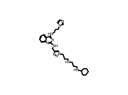 c1ccc2c(NCCCn3ccnc3)nc(NCc3cn(CCCNCCCNC4CCCCC4)nn3)nc2c1